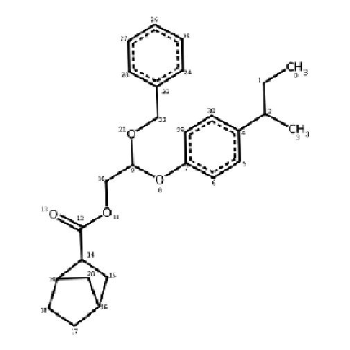 CCC(C)c1ccc(OC(COC(=O)C2CC3CCC2C3)OCc2ccccc2)cc1